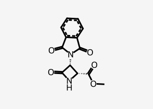 COC(=O)[C@@H]1NC(=O)[C@@H]1N1C(=O)c2ccccc2C1=O